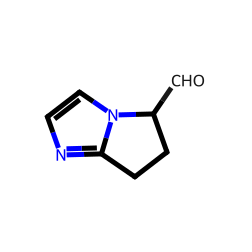 O=CC1CCc2nccn21